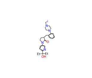 CCC(O)(CC)c1ccc(N2CCC(Cc3ccccc3N3CCN(CI)CC3)C2=O)cn1